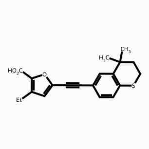 CCc1cc(C#Cc2ccc3c(c2)C(C)(C)CCS3)oc1C(=O)O